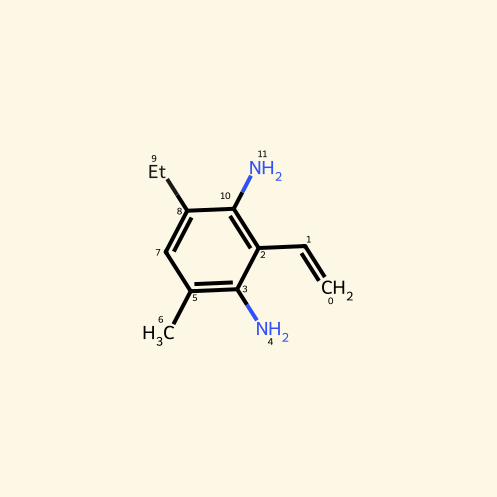 C=Cc1c(N)c(C)cc(CC)c1N